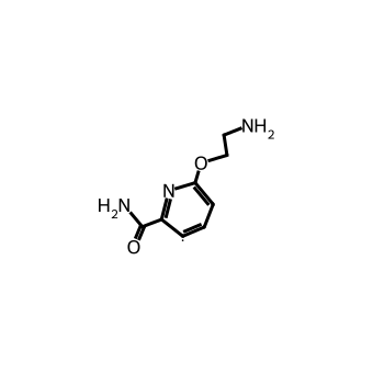 NCCOc1cc[c]c(C(N)=O)n1